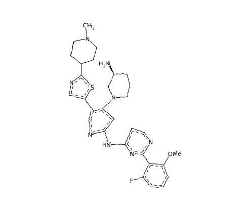 COc1cccc(F)c1-c1nccc(Nc2cc(N3CCC[C@H](N)C3)c(-c3cnc(C4CCN(C)CC4)s3)cn2)n1